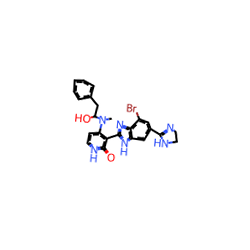 CN(c1cc[nH]c(=O)c1-c1nc2c(Br)cc(C3=NCCN3)cc2[nH]1)C(O)Cc1ccccc1